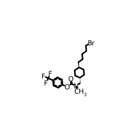 CN(C[C@H]1CC[C@H](CCCCCBr)CC1)C(=O)Oc1ccc(C(F)(F)F)cc1